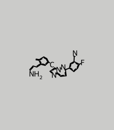 C=c1ccc(Cc2cnc3ccc(-c4ccc(F)c(C#N)c4)nn23)c/c1=C/C=C\N